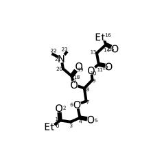 CCC(=O)CC(=O)OCC(COC(=O)CC(=O)CC)OC(=O)CN(C)C